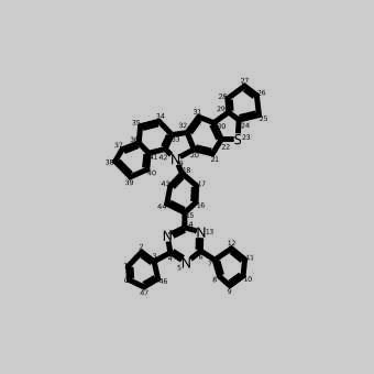 c1ccc(-c2nc(-c3ccccc3)nc(-c3ccc(-n4c5cc6sc7ccccc7c6cc5c5ccc6ccccc6c54)cc3)n2)cc1